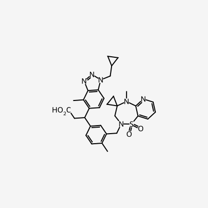 Cc1ccc(C(CC(=O)O)c2ccc3c(nnn3CC3CC3)c2C)cc1CN1CC2(CC2)N(C)c2ncccc2S1(=O)=O